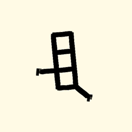 FC12C3C4C5C3C1C5(F)C42